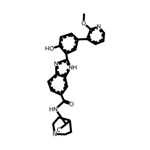 COc1ncccc1-c1ccc(O)c(-c2nc3ccc(C(=O)NC4CN5CCC4CC5)cc3[nH]2)c1